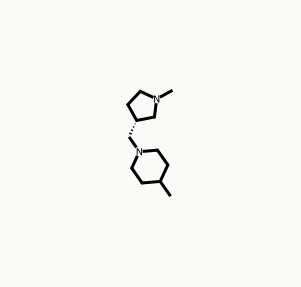 CC1CCN(C[C@@H]2CCN(C)C2)CC1